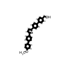 COc1ccc(-c2ccc(-c3ccc(-c4ccc(-c5ccc(CO)cc5)cc4)s3)cc2)cc1